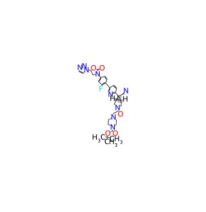 CC(C)(C)OC(=O)N1CCN(CC(=O)N2C[C@@H]3[C@H](C2)[C@@]3(C#N)c2ccc(-c3ccc(N4CC(n5ccnn5)OC4=O)cc3F)cn2)CC1